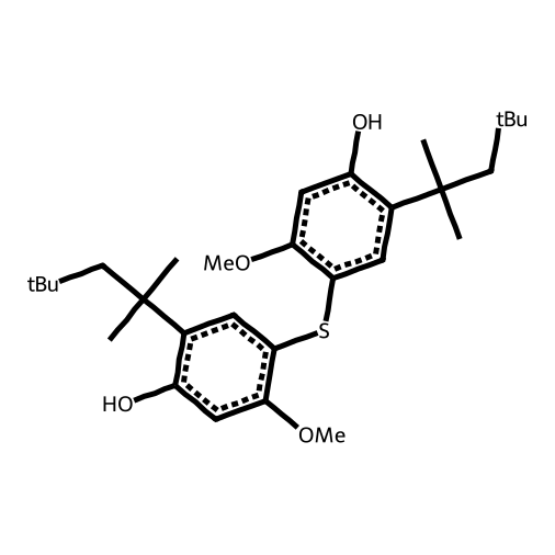 COc1cc(O)c(C(C)(C)CC(C)(C)C)cc1Sc1cc(C(C)(C)CC(C)(C)C)c(O)cc1OC